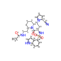 CC(=O)NCCC1CCCCN1C(=O)C(CCn1cccc1C#N)NS(=O)(=O)c1cccc2[nH]ccc12